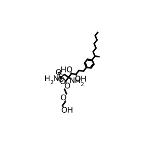 CCCCCCC(C)c1ccc(CCC(O)C(O)C(N)(CS(N)(=O)=O)C(=O)OCCOCCO)cc1